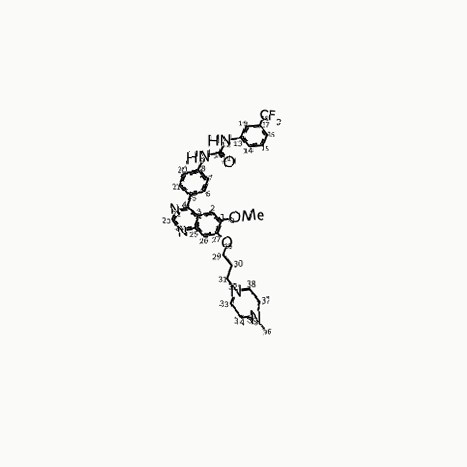 COc1cc2c(-c3ccc(NC(=O)Nc4cccc(C(F)(F)F)c4)cc3)ncnc2cc1OCCCN1CCN(C)CC1